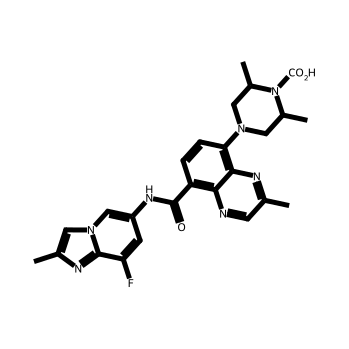 Cc1cnc2c(C(=O)Nc3cc(F)c4nc(C)cn4c3)ccc(N3CC(C)N(C(=O)O)C(C)C3)c2n1